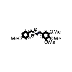 COc1ccc(CS(=O)(=O)/C=C/c2cc(OC)c(OC)c(OC)c2)cc1